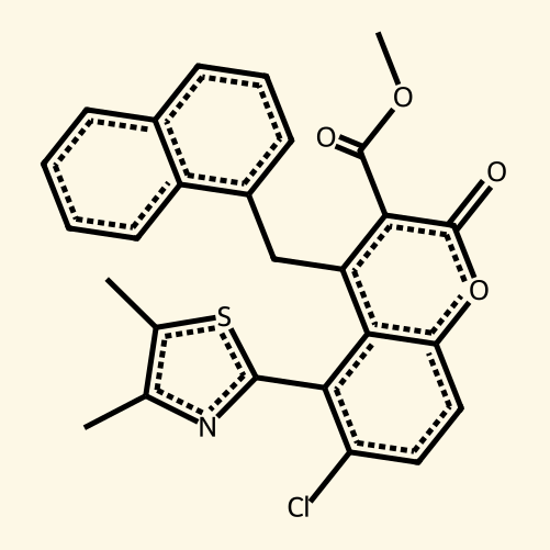 COC(=O)c1c(Cc2cccc3ccccc23)c2c(-c3nc(C)c(C)s3)c(Cl)ccc2oc1=O